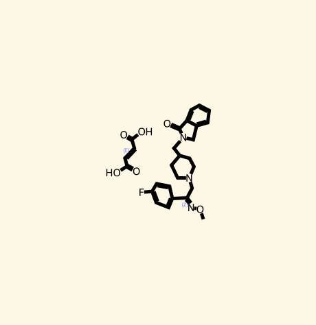 CO/N=C(\CN1CCC(CN2Cc3ccccc3C2=O)CC1)c1ccc(F)cc1.O=C(O)/C=C/C(=O)O